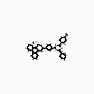 CC1CC(c2ccc(-c3nc(-c4ccccc4)nc(-c4ccc(Br)cc4)n3)cc2)=Cc2c1c1ccccc1c1ccccc21